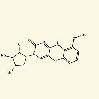 CCCOc1cccc2c1Nc1nc(=O)n([C@@H]3O[C@H](CC)C(O)[C@@H]3F)cc1O2